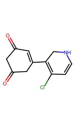 O=C1C=C(C2=C(Cl)C=CNC2)CC(=O)C1